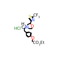 CCOC(=O)COc1ccc(CC(C)N2CCOC(c3csc(C(F)(F)F)n3)C2)cc1.Cl